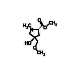 COC[C@@]1(O)C[C@@H](C(=O)OC)N(C)C1